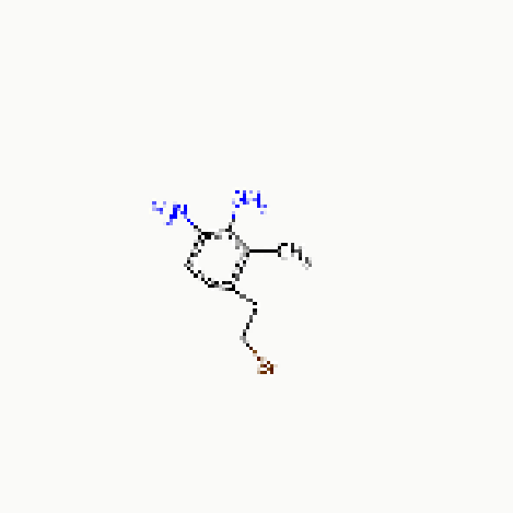 Cc1c(CCBr)ccc(N)c1N